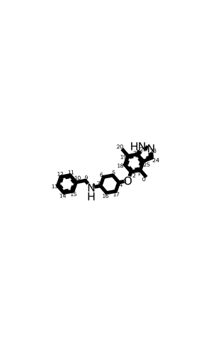 Cc1c(OC2CCC(NCc3ccccc3)CC2)cc(C)c2[nH]ncc12